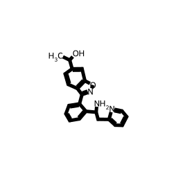 CC(O)c1ccc2c(-c3ccccc3C(N)Cc3ccccn3)noc2c1